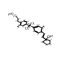 CCC(CC)(c1ccc(C=CC2(O)CCCC2)c(C)c1)c1ccc(CCC(=O)O)c(C)c1